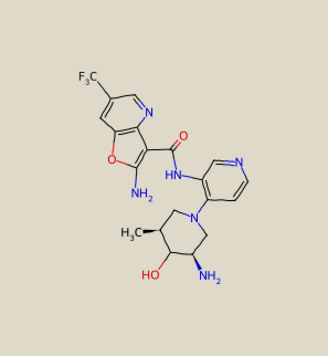 C[C@H]1CN(c2ccncc2NC(=O)c2c(N)oc3cc(C(F)(F)F)cnc23)C[C@@H](N)C1O